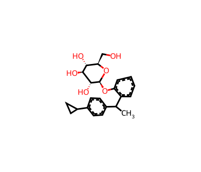 CC(c1ccc(C2CC2)cc1)c1ccccc1O[C@@H]1O[C@H](CO)[C@@H](O)[C@H](O)[C@H]1O